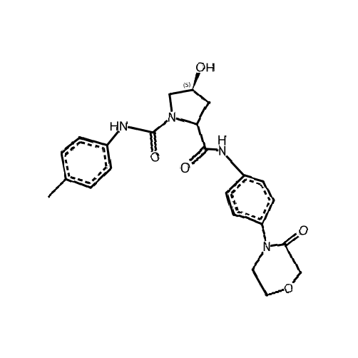 Cc1ccc(NC(=O)N2C[C@@H](O)CC2C(=O)Nc2ccc(N3CCOCC3=O)cc2)cc1